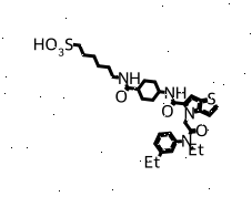 CCc1cccc(N(CC)C(=O)Cn2c(C(=O)NC3CCC(C(=O)NCCCCCCS(=O)(=O)O)CC3)cc3sccc32)c1